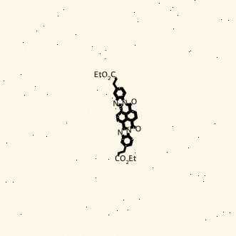 CCOC(=O)CCc1ccc2c(c1)nc1c3ccc4c5c(ccc(c(=O)n21)c35)c(=O)n1c2ccc(CCC(=O)OCC)cc2nc41